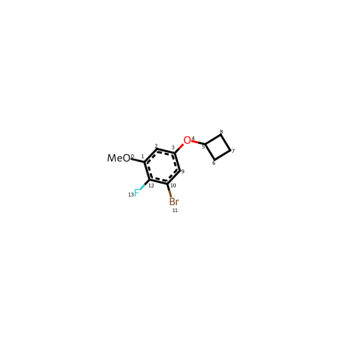 COc1cc(OC2CCC2)cc(Br)c1F